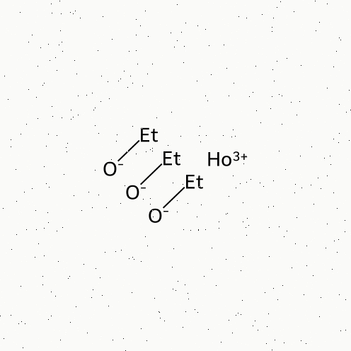 CC[O-].CC[O-].CC[O-].[Ho+3]